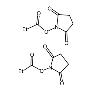 CCC(=O)ON1C(=O)CCC1=O.CCC(=O)ON1C(=O)CCC1=O